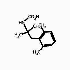 Cc1cccc(C)c1CC(C)(C)NC(=O)O